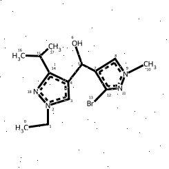 CCn1cc(C(O)c2cn(C)nc2Br)c(C(C)C)n1